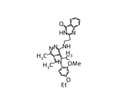 CCOc1ccc(-n2c(C)c3c(C)nnc(NCCc4nc5ccccc5c(=O)[nH]4)c3c2C)c(OC)c1